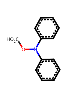 O=C(O)ON(c1ccccc1)c1ccccc1